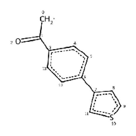 [CH2]C(=O)c1ccc(-c2ccsc2)cc1